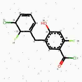 O=C(Cl)c1cc(CC2=CC=CC(Cl)C2F)c(O)cc1F